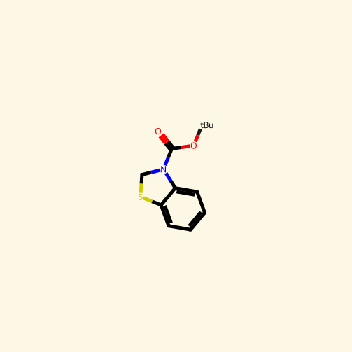 CC(C)(C)OC(=O)N1CSc2ccccc21